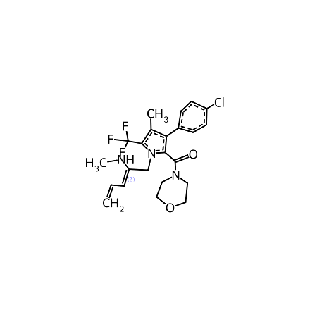 C=C/C=C(/Cn1c(C(=O)N2CCOCC2)c(-c2ccc(Cl)cc2)c(C)c1C(F)(F)F)NC